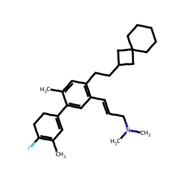 CC1=C(F)CCC(c2cc(/C=C/CN(C)C)c(CCC3CC4(CCCCC4)C3)cc2C)=C1